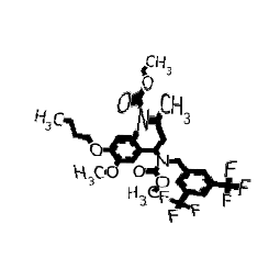 CCCCOc1cc2c(cc1OC)C(N(Cc1cc(C(F)(F)F)cc(C(F)(F)F)c1)C(=O)OC)CC(C)N2C(=O)OCC